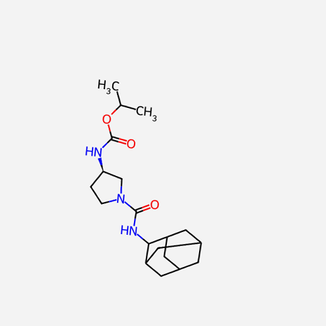 CC(C)OC(=O)N[C@@H]1CCN(C(=O)NC2C3CC4CC(C3)CC2C4)C1